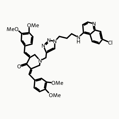 COc1ccc(/C=C2\CN(Cc3cn(CCCNc4ccnc5cc(Cl)ccc45)nn3)C/C(=C\c3ccc(OC)c(OC)c3)C2=O)cc1OC